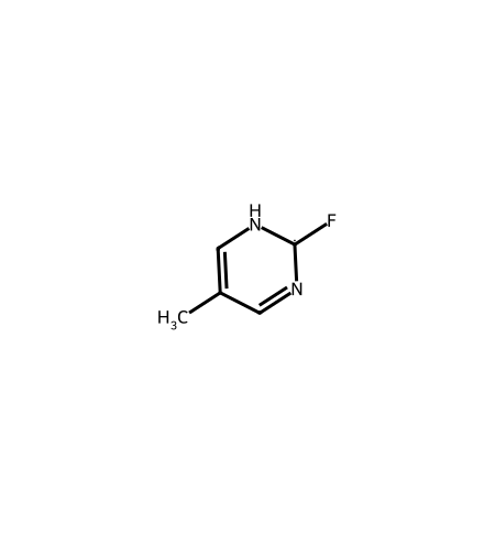 CC1=CN[C](F)N=C1